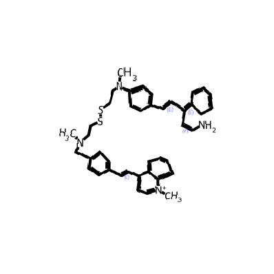 CN(CCSSCCN(C)c1ccc(/C=C/C(/C=C\N)=C2\C=CC=CC2)cc1)Cc1ccc(/C=C/c2cc[n+](C)c3ccccc23)cc1